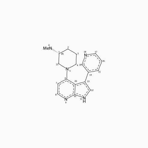 CN[C@@H]1CCCN(c2ccnc3[nH]cc(-c4cccnc4)c23)C1